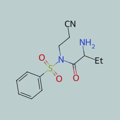 [CH2]CC(N)C(=O)N(CCC#N)S(=O)(=O)c1ccccc1